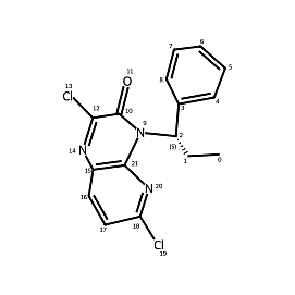 CC[C@@H](c1ccccc1)n1c(=O)c(Cl)nc2ccc(Cl)nc21